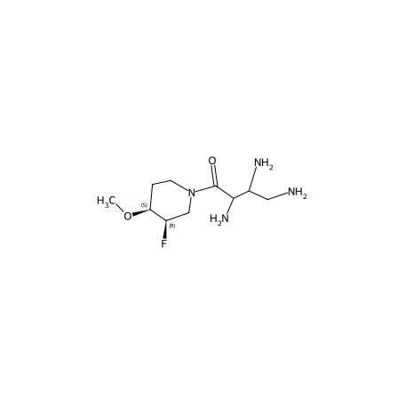 CO[C@H]1CCN(C(=O)C(N)C(N)CN)C[C@H]1F